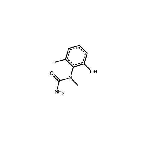 [CH2]c1cccc(O)c1N(C)C(N)=O